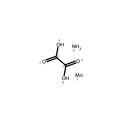 N.O=C(O)C(=O)O.[Mn]